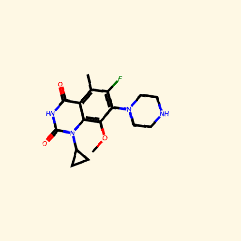 COc1c(N2CCNCC2)c(F)c(C)c2c(=O)[nH]c(=O)n(C3CC3)c12